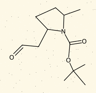 CC1CCC(CC=O)N1C(=O)OC(C)(C)C